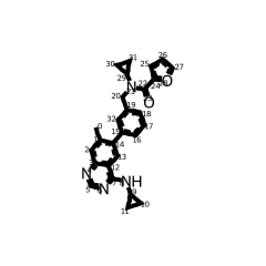 Cc1cc2ncnc(NC3CC3)c2cc1-c1cccc(CN(C(=O)c2ccco2)C2CC2)c1